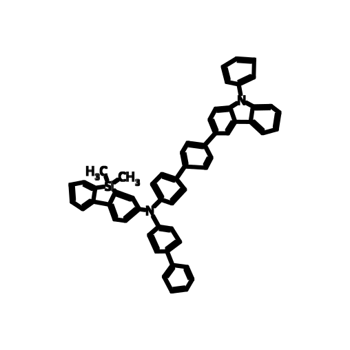 C[Si]1(C)c2ccccc2-c2ccc(N(c3ccc(-c4ccccc4)cc3)c3ccc(-c4ccc(-c5ccc6c(c5)c5ccccc5n6-c5ccccc5)cc4)cc3)cc21